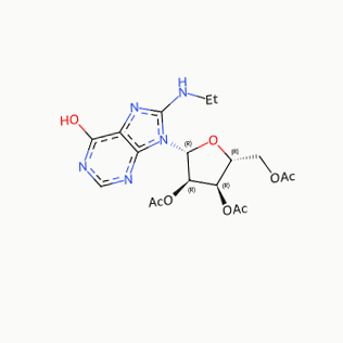 CCNc1nc2c(O)ncnc2n1[C@@H]1O[C@H](COC(C)=O)[C@@H](OC(C)=O)[C@H]1OC(C)=O